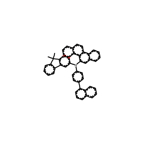 CC1(C)c2ccccc2-c2cc(N(c3ccc(-c4cccc5ccccc45)cc3)c3cc4ccccc4c4ccc5ccccc5c34)ccc21